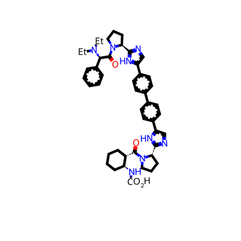 CCN(CC)[C@@H](C(=O)N1CCC[C@H]1c1ncc(-c2ccc(-c3ccc(-c4cnc([C@@H]5CCCN5C(=O)[C@H]5CCCC[C@H]5NC(=O)O)[nH]4)cc3)cc2)[nH]1)c1ccccc1